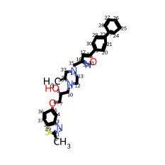 Cc1nc2cc(OC[C@H](O)CN3CCN(Cc4cc(-c5ccc(-c6ccccc6)cc5)on4)C[C@@H]3C)ccc2s1